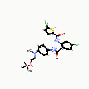 CC(C)(C)[Si](C)(C)OCCN(C#N)c1ccc(NC(=O)c2ccc(Cl)cc2NC(=O)c2ccc(Cl)s2)cc1